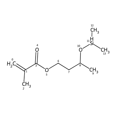 C=C(C)C(=O)OCCC(C)O[SiH](C)C